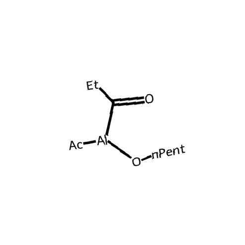 CCCCC[O][Al]([C](C)=O)[C](=O)CC